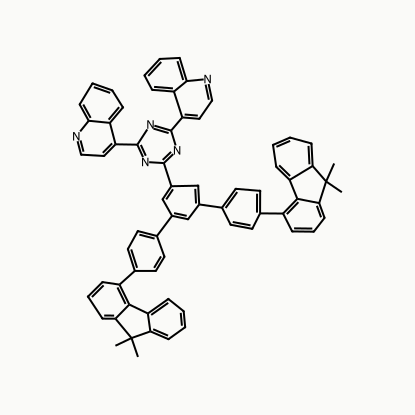 CC1(C)c2ccccc2-c2c(-c3ccc(-c4cc(-c5ccc(-c6cccc7c6-c6ccccc6C7(C)C)cc5)cc(-c5nc(-c6ccnc7ccccc67)nc(-c6ccnc7ccccc67)n5)c4)cc3)cccc21